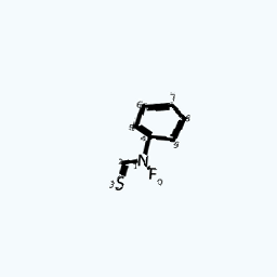 FN([C]=S)c1ccccc1